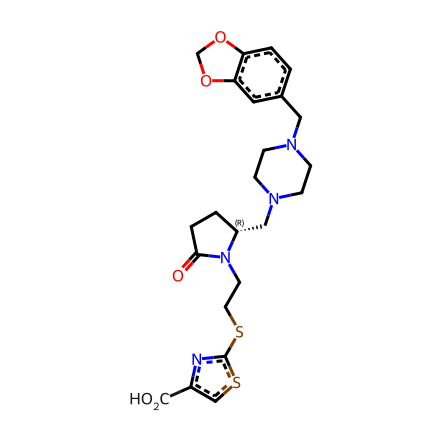 O=C(O)c1csc(SCCN2C(=O)CC[C@@H]2CN2CCN(Cc3ccc4c(c3)OCO4)CC2)n1